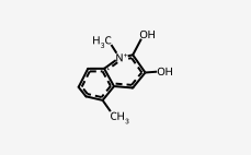 Cc1cccc2c1cc(O)c(O)[n+]2C